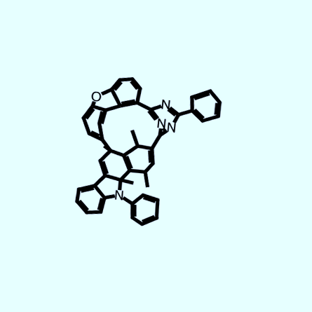 CC1C=C2c3nc(-c4ccccc4)nc(n3)-c3cccc4oc5ccc(cc5c34)C3(C)C=C4c5ccccc5N(c5ccccc5)C4(C)C1=C3C2C